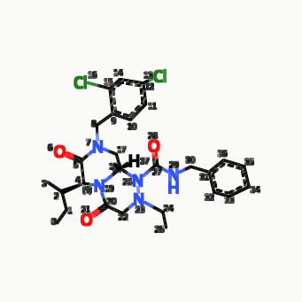 CCC(C)[C@H]1C(=O)N(Cc2ccc(Cl)cc2Cl)C[C@H]2N1C(=O)CN(CC)N2C(=O)NCc1ccccc1